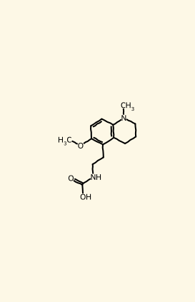 COc1ccc2c(c1CCNC(=O)O)CCCN2C